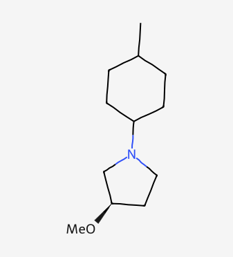 CO[C@@H]1CCN(C2CCC(C)CC2)C1